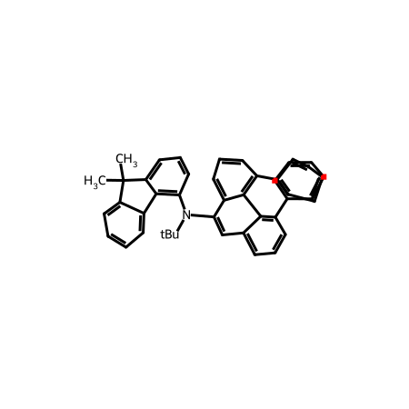 CC1(C)c2ccccc2-c2c(N(c3cc4cccc(-c5ccccc5)c4c4c(-c5ccccc5)cccc34)C(C)(C)C)cccc21